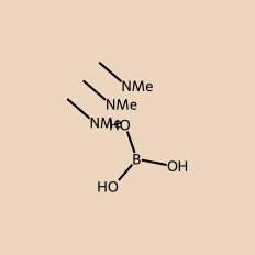 CNC.CNC.CNC.OB(O)O